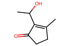 CC1=C(C(C)O)C(=O)CC1